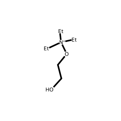 CC[N+](CC)(CC)OCCO